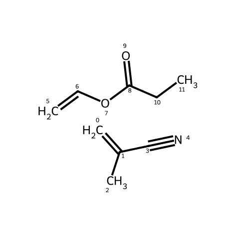 C=C(C)C#N.C=COC(=O)CC